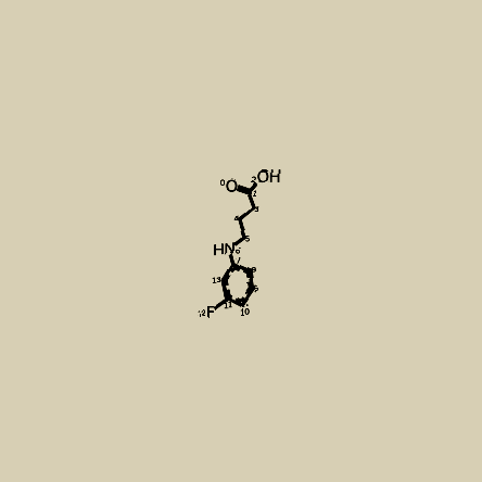 O=C(O)CCCNc1cc[c]c(F)c1